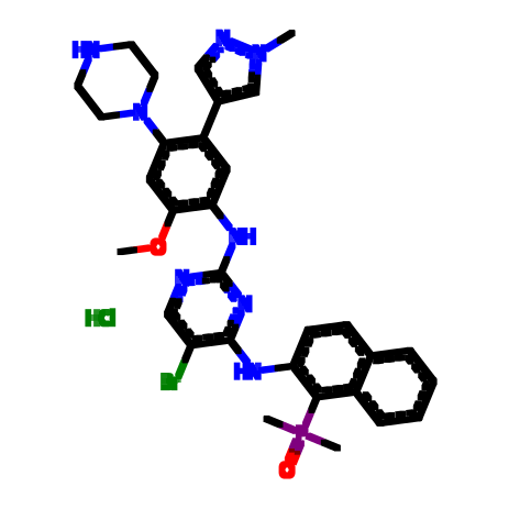 COc1cc(N2CCNCC2)c(-c2cnn(C)c2)cc1Nc1ncc(Br)c(Nc2ccc3ccccc3c2P(C)(C)=O)n1.Cl